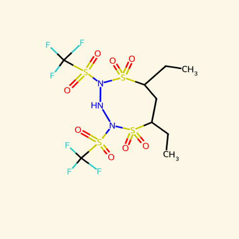 CCC1CC(CC)S(=O)(=O)N(S(=O)(=O)C(F)(F)F)NN(S(=O)(=O)C(F)(F)F)S1(=O)=O